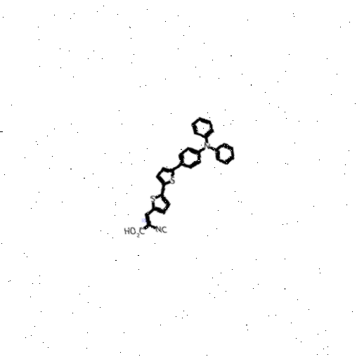 [C-]#[N+]/C(=C\c1ccc(-c2ccc(-c3ccc(N(c4ccccc4)c4ccccc4)cc3)s2)s1)C(=O)O